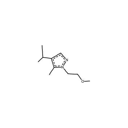 COCCn1ncc(C(C)C)c1C